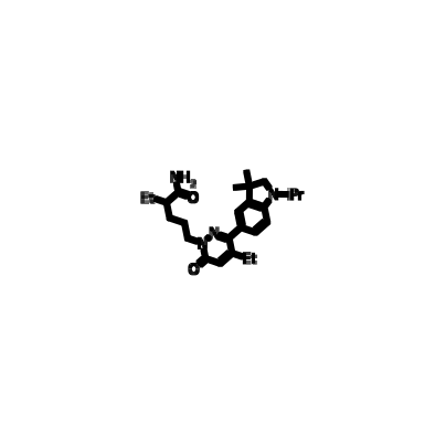 CCc1cc(=O)n(CCCC(CC)C(N)=O)nc1-c1ccc2c(c1)C(C)(C)CN2C(C)C